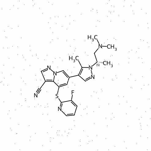 Cc1c(-c2cc(Sc3ncccc3F)c3c(C#N)cnn3c2)cnn1[C@@H](C)CN(C)C